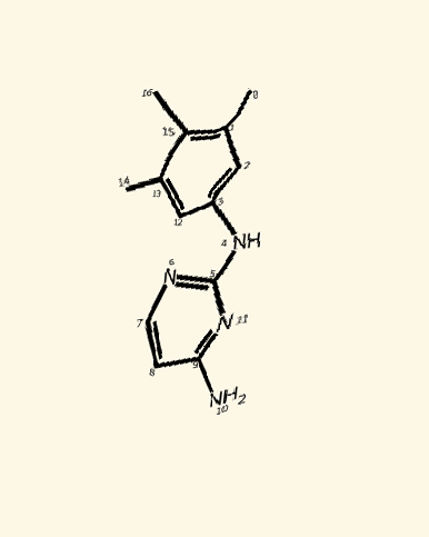 Cc1cc(Nc2nccc(N)n2)cc(C)c1C